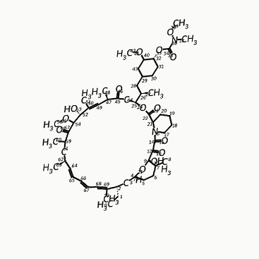 CC[C@H]1C[C@@H]2CCC(C)C(O)(O2)C(=O)C(=O)N2CCCCC2C(=O)O[C@H]([C@H](C)CC2CC[C@@H](OC(=O)N(C)OC)C(OC)C2)CC(=O)[C@H](C)/C=C(\C)[C@@H](O)C(OC)C(=O)C(C)C[C@H](C)/C=C/C=C/C=C/1C